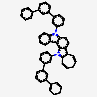 C1=Cc2c(n(-c3cccc(-c4cccc(C5=CCCC=C5)c4)c3)c3c2ccc2c3c3ccccc3n2-c2cccc(-c3cccc(-c4ccccc4)c3)c2)C=CC1